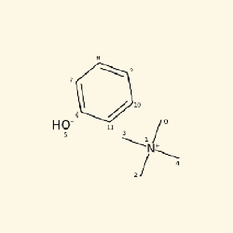 C[N+](C)(C)C.[OH-].[c]1ccccc1